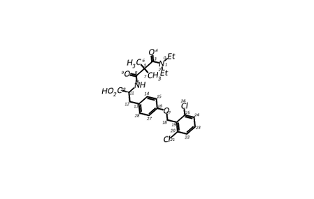 CCN(CC)C(=O)C(C)(C)C(=O)N[C@@H](Cc1ccc(OCc2c(Cl)cccc2Cl)cc1)C(=O)O